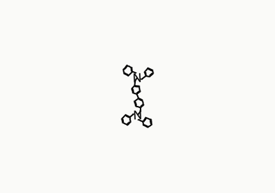 c1ccc(CN(Cc2ccccc2)Cc2ccc(-c3ccc(CN(Cc4ccccc4)Cc4ccccc4)cc3)cc2)cc1